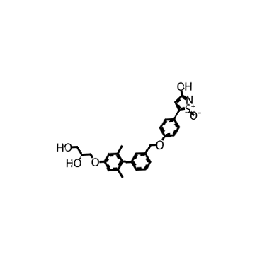 Cc1cc(OC[C@H](O)CO)cc(C)c1-c1cccc(COc2ccc(-c3cc(O)n[s+]3[O-])cc2)c1